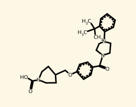 CC(C)(C)c1ccccc1N1CCN(C(=O)c2ccc(OCC3CCN(C(=O)O)CC3)cc2)CC1